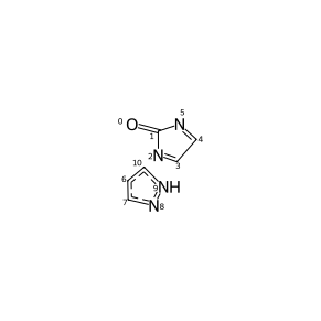 O=C1N=CC=N1.c1cn[nH]c1